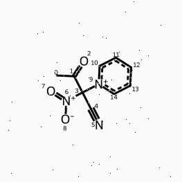 CC(=O)C(C#N)([N+](=O)[O-])[n+]1ccccc1